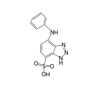 O=S(=O)(O)c1ccc(Nc2ccccc2)c2nn[nH]c12